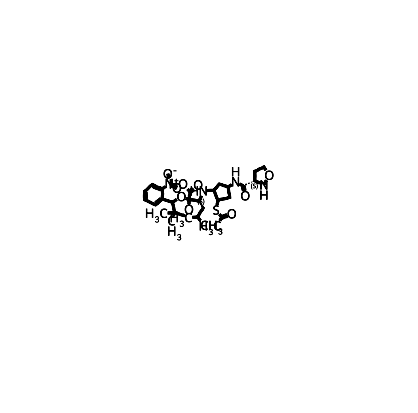 CC(=O)SC1CC(NC(=O)[C@@H]2CCON2)CC1N[C@@H](CC(C)C)C1(C(=O)O)OCC(C)(C)C(c2ccccc2[N+](=O)[O-])O1